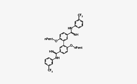 CCCCCOc1ccc(C(=N)Nc2cccc(C(F)(F)F)c2)cc1-c1cc(C(=N)Nc2cccc(C(F)(F)F)c2)ccc1OCCCCC